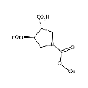 CCCCCCCC[C@@H]1CN(C(=O)OC(C)(C)C)C[C@H]1C(=O)O